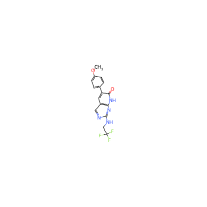 COc1ccc(-c2cc3cnc(NCC(F)(F)F)nc3[nH]c2=O)cc1